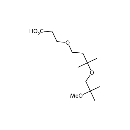 COC(C)(C)COC(C)(C)CCOCCC(=O)O